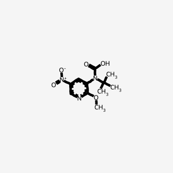 COc1ncc([N+](=O)[O-])cc1N(C(=O)O)C(C)(C)C